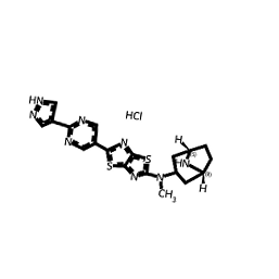 CN(c1nc2sc(-c3cnc(-c4cn[nH]c4)nc3)nc2s1)C1C[C@H]2CC[C@@H](C1)N2.Cl